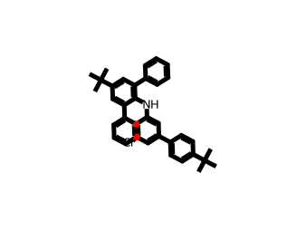 CC(C)(C)c1ccc(-c2cc(Cl)cc(Nc3c(-c4ccccc4)cc(C(C)(C)C)cc3-c3ccccc3)c2)cc1